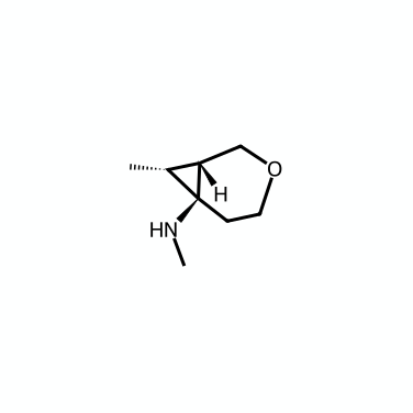 CN[C@]12CCOC[C@H]1[C@H]2C